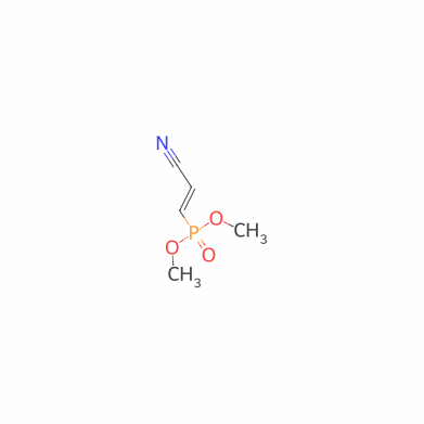 COP(=O)(/C=C/C#N)OC